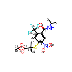 CC(C)NC(=O)c1cc([N+](=O)[O-])c(SC(C)(C)C2OC(C)O2)cc1C(F)(F)F